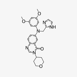 COc1cc(OC)cc(N(Cc2ncc[nH]2)c2ccc3ncn(C4CCOCC4)c(=O)c3c2)c1